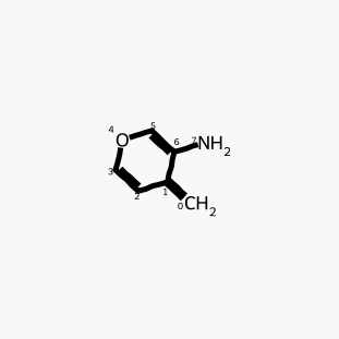 C=C1C=COC=C1N